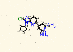 Nc1cc(-c2ccc3nc(Cl)n(C4CCCC4)c3n2)cc(N)n1